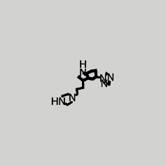 c1ncn(-c2ccc3[nH]cc(CCCN4CCNCC4)c3c2)n1